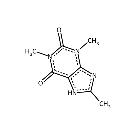 Cc1nc2c([nH]1)c(=O)n(C)c(=O)n2C